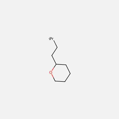 C[C](C)CCC1CCCCO1